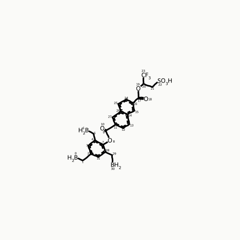 BCc1cc(CB)c(OC(=O)c2ccc3cc(C(=O)OC(CS(=O)(=O)O)C(F)(F)F)ccc3c2)c(CB)c1